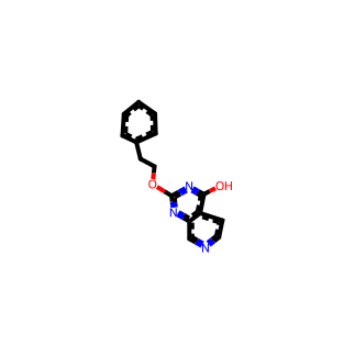 Oc1nc(OCCc2ccccc2)nc2cnccc12